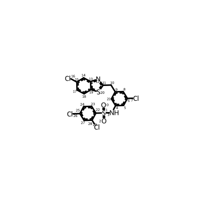 O=S(=O)(Nc1cc(Cl)cc(Cc2nc3cc(Cl)ccc3s2)c1)c1ccc(Cl)cc1Cl